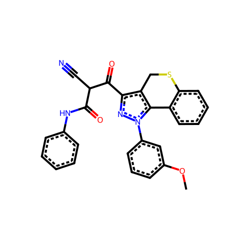 COc1cccc(-n2nc(C(=O)C(C#N)C(=O)Nc3ccccc3)c3c2-c2ccccc2SC3)c1